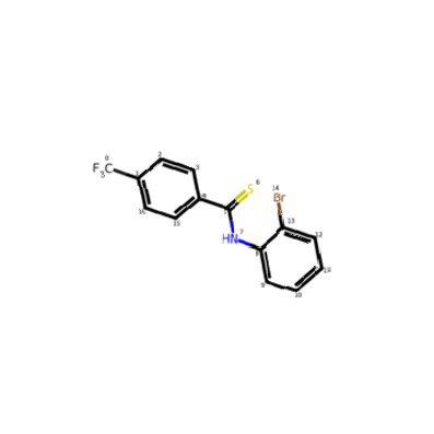 FC(F)(F)c1ccc(C(=S)Nc2ccccc2Br)cc1